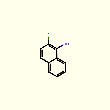 [NH]c1c(Cl)ccc2ccccc12